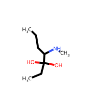 CCCC(NC)C(O)(O)CC